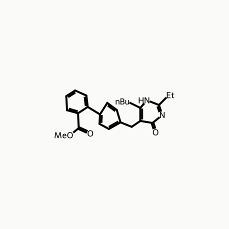 CCCCc1[nH]c(CC)nc(=O)c1Cc1ccc(-c2ccccc2C(=O)OC)cc1